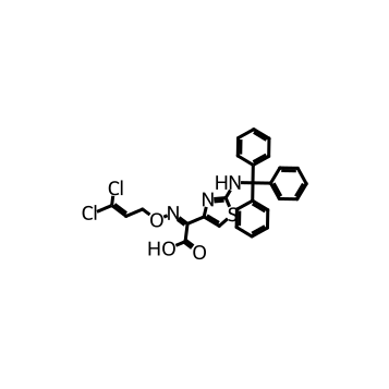 O=C(O)C(=NOCC=C(Cl)Cl)c1csc(NC(c2ccccc2)(c2ccccc2)c2ccccc2)n1